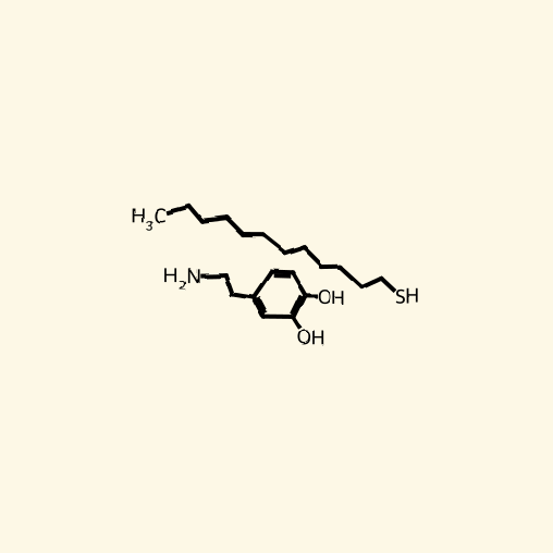 CCCCCCCCCCCCS.NCCc1ccc(O)c(O)c1